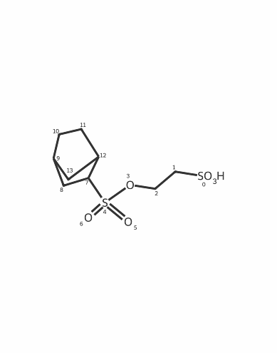 O=S(=O)(O)CCOS(=O)(=O)C1CC2CCC1C2